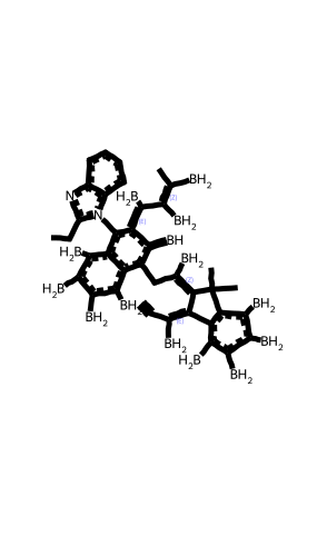 B=c1c(C/C(B)=C2\C(=C(\B)C#C)c3c(B)c(B)c(B)c(B)c3C2(C)C)c2c(B)c(B)c(B)c(B)c2c(-n2c(CC)nc3ccccc32)/c1=C(B)/C(B)=C(/B)C